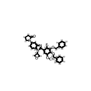 COc1cc(-c2nc3cc(N4CCCC4=O)ccc3n2C2COC2)c(F)c(OCc2ccccc2)c1OCc1ccccc1